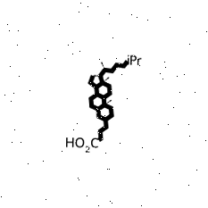 CC(C)CCC[C@@H](C)[C@H]1CCC2C3CCC4CC(CCCC(=O)O)CC[C@]4(C)C3CC[C@@]21C